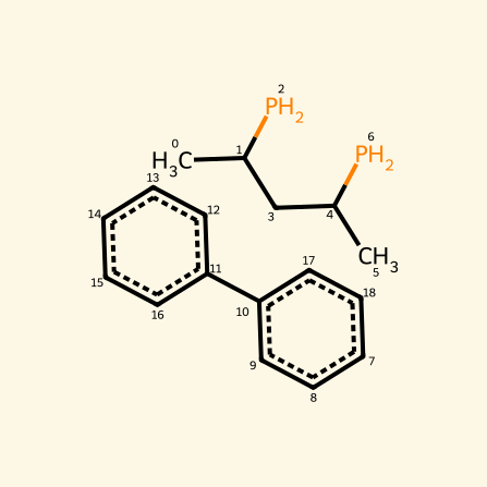 CC(P)CC(C)P.c1ccc(-c2ccccc2)cc1